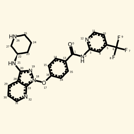 O=C(Nc1cc(C(F)(F)F)ccn1)c1ccc(On2nc(N[C@@H]3CCCNC3)c3cccnc32)cc1